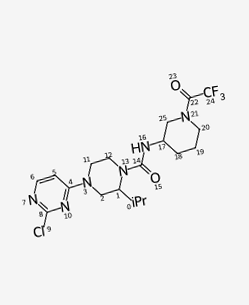 CC(C)C1CN(c2ccnc(Cl)n2)CCN1C(=O)NC1CCCN(C(=O)C(F)(F)F)C1